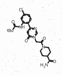 CC(C)(C)C(=O)Nc1cc(Cl)ccc1-c1cc(=O)n(CC(=O)N2CCC(C(N)=O)CC2)cn1